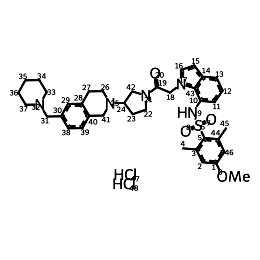 COc1cc(C)c(S(=O)(=O)Nc2cccc3ccn(CC(=O)N4CCC(N5CCc6cc(CN7CCCCC7)ccc6C5)C4)c23)c(C)c1.Cl.Cl